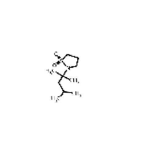 CC(C)CC(C)(C)N1CCCS1(=O)=O